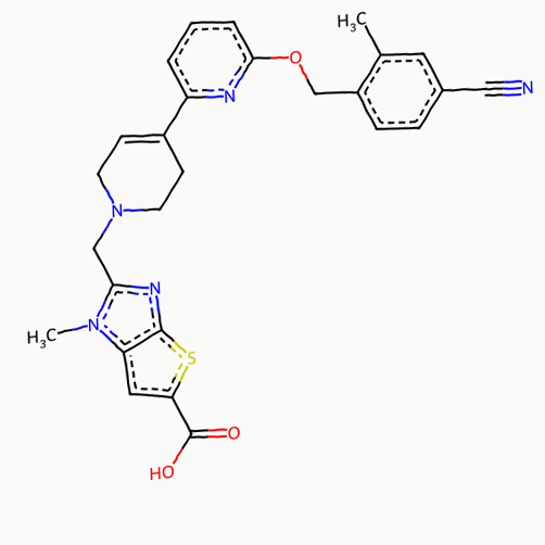 Cc1cc(C#N)ccc1COc1cccc(C2=CCN(Cc3nc4sc(C(=O)O)cc4n3C)CC2)n1